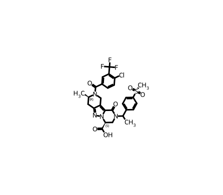 CC(c1ccc(S(C)(=O)=O)cc1)N1C[C@@H](C(=O)O)n2nc3c(c2C1=O)CN(C(=O)c1ccc(Cl)c(C(F)(F)F)c1)[C@H](C)C3